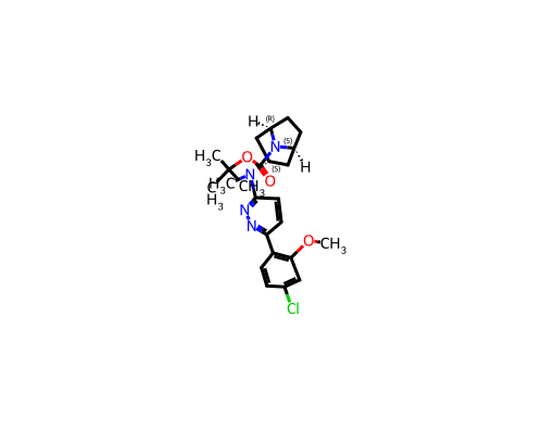 COc1cc(Cl)ccc1-c1ccc(N(C)[C@@H]2C[C@H]3CC[C@@H](C2)N3C(=O)OC(C)(C)C)nn1